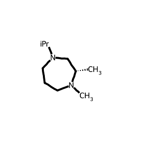 CC(C)N1CCCN(C)[C@@H](C)C1